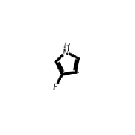 Fc1[c]c[nH]c1